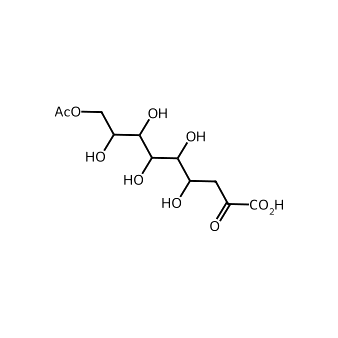 CC(=O)OCC(O)C(O)C(O)C(O)C(O)CC(=O)C(=O)O